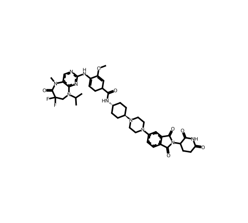 COC1=CC(C(=O)N[C@H]2CC[C@H](N3CCN(c4ccc5c(c4)C(=O)N(C4CCC(=O)NC4=O)C5=O)CC3)CC2)CC=C1Nc1ncc2c(n1)N(C(C)C)CC(F)(F)C(=O)N2C